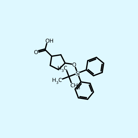 CC(C)(C)[Si](OC1CCC(C(=O)O)C1)(c1ccccc1)c1ccccc1